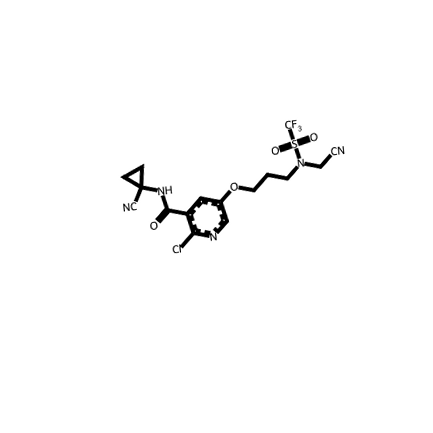 N#CCN(CCCOc1cnc(Cl)c(C(=O)NC2(C#N)CC2)c1)S(=O)(=O)C(F)(F)F